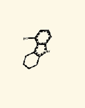 Oc1cccc2[nH]c3c(c12)CCCC3